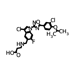 CC(C)Oc1ccc(-c2nc(-n3cc(Cl)c4cc(CNCCC(=O)O)c(F)cc43)no2)cc1Cl